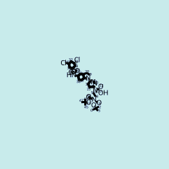 CC(C)(C)OC(=O)N(CCN(C(=O)O)c1ccc(N2CCc3cc(NS(=O)(=O)c4cc(Cl)cc(Cl)c4)ccc32)nn1)C(=O)OC(C)(C)C